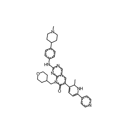 CC1NC(c2ccncc2)=CC=C1c1cc2cnc(Nc3ccc(C4CCN(C)CC4)cc3)nc2n(CC2CCOCC2)c1=O